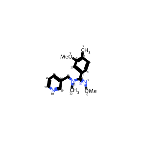 CO/N=C(/c1ccc(C)c(OC)c1)N(C)Cc1cccnc1